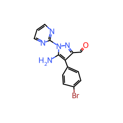 Nc1c(-c2ccc(Br)cc2)c(C=O)nn1-c1ncccn1